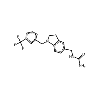 NC(=O)NCc1ccc2c(c1)CCN2Cc1cccc(C(F)(F)F)c1